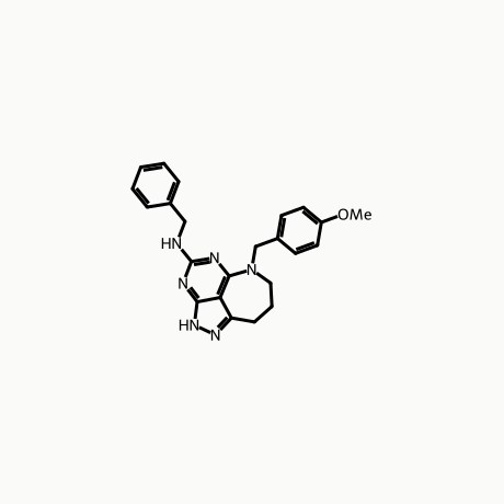 COc1ccc(CN2CCCc3n[nH]c4nc(NCc5ccccc5)nc2c34)cc1